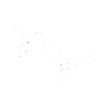 c1ccc(-c2ccc(-c3cc(-c4ccc(-c5ccc(-c6ccnc(-c7cc(-c8ccccc8)cc(-c8ccccn8)n7)c6)cc5)cc4)nc(-c4ccccc4)n3)cc2)cc1